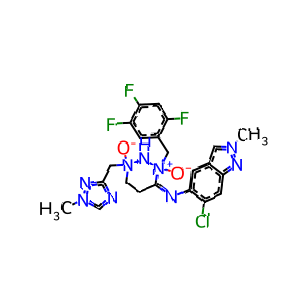 Cn1cnc(C[N+]2([O-])CCC(=Nc3cc4cn(C)nc4cc3Cl)[N+]([O-])(Cc3cc(F)c(F)cc3F)N2)n1